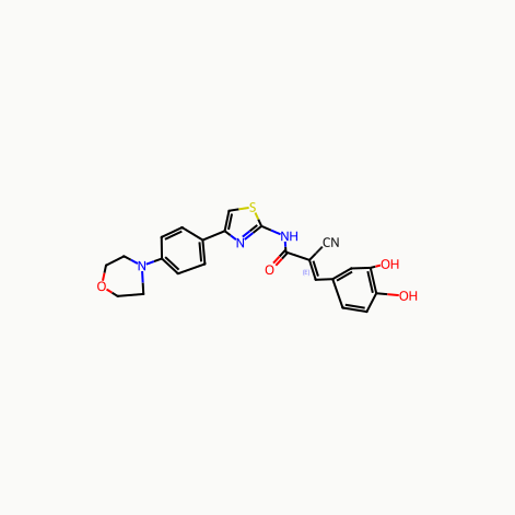 N#C/C(=C\c1ccc(O)c(O)c1)C(=O)Nc1nc(-c2ccc(N3CCOCC3)cc2)cs1